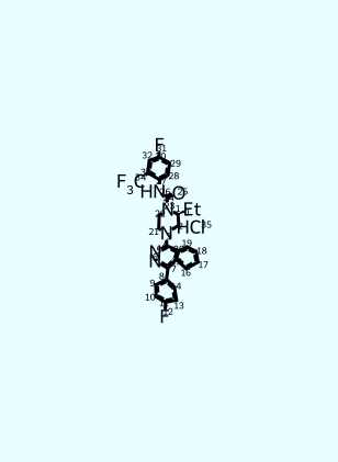 CC[C@H]1CN(c2nnc(-c3ccc(F)cc3)c3ccccc23)CCN1C(=O)Nc1ccc(F)cc1C(F)(F)F.Cl